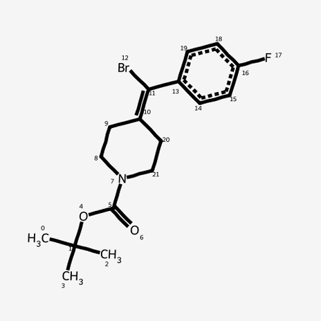 CC(C)(C)OC(=O)N1CCC(=C(Br)c2ccc(F)cc2)CC1